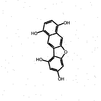 Oc1cc(O)c2c(c1)oc1cc3c(O)ccc(O)c3cc12